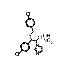 Clc1ccc(CSC(c2ccc(Cl)cc2)C(Cl)n2ccnc2)cc1.O=[N+]([O-])O